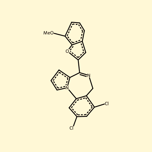 COc1cccc2cc(C3=NCc4c(Cl)cc(Cl)cc4-n4cccc43)oc12